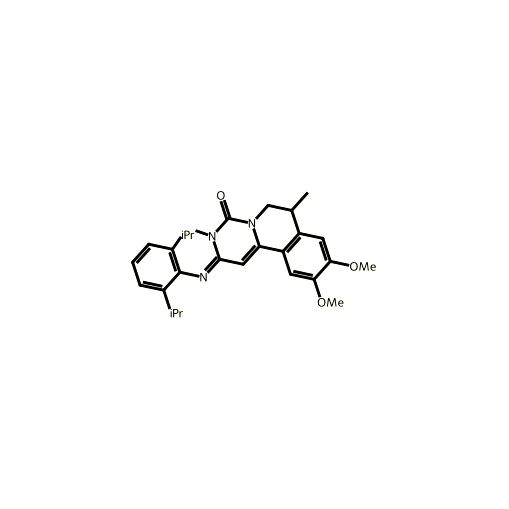 COc1cc2c(cc1OC)C(C)Cn1c-2c/c(=N/c2c(C(C)C)cccc2C(C)C)n(C)c1=O